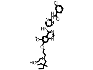 CCC(C)(CC)CN(CCO)CCCOc1cc2ncnc(Nc3cnc(NC(=O)c4cccc(Cl)c4)nc3)c2cc1OC